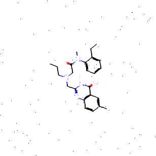 CCCN(CC(=O)N(C)c1ccccc1CC)Cc1nc2ccc(C)cc2c(=O)[nH]1